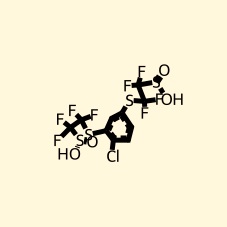 O=S(O)C(F)(F)C(F)(F)Sc1ccc(Cl)c(SC(F)(F)C(F)(F)S(=O)O)c1